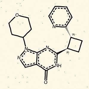 O=c1[nH]c([C@@H]2CC[C@H]2c2ccccn2)nc2c1cnn2C1CCOCC1